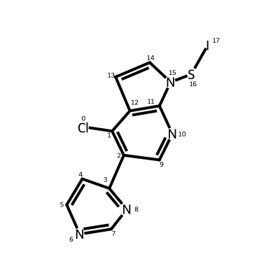 Clc1c(-c2ccncn2)cnc2c1ccn2SI